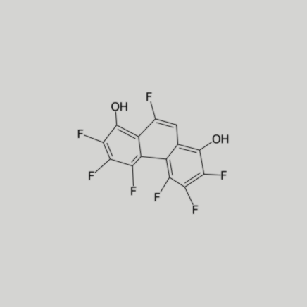 Oc1c(F)c(F)c(F)c2c1cc(F)c1c(O)c(F)c(F)c(F)c12